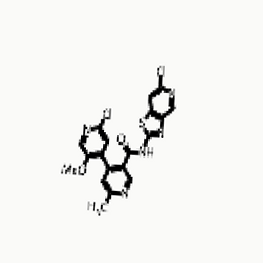 COc1cnc(Cl)cc1-c1cc(C)ncc1C(=O)Nc1nc2cnc(Cl)cc2s1